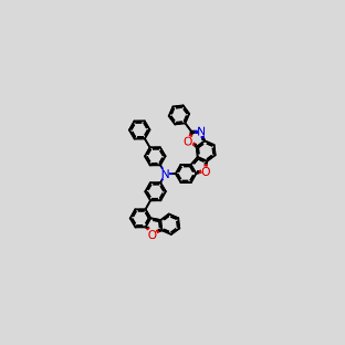 c1ccc(-c2ccc(N(c3ccc(-c4cccc5oc6ccccc6c45)cc3)c3ccc4oc5ccc6nc(-c7ccccc7)oc6c5c4c3)cc2)cc1